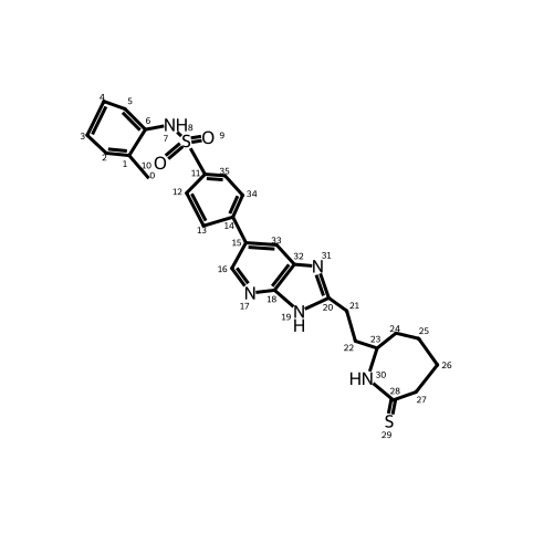 Cc1ccccc1NS(=O)(=O)c1ccc(-c2cnc3[nH]c(CCC4CCCCC(=S)N4)nc3c2)cc1